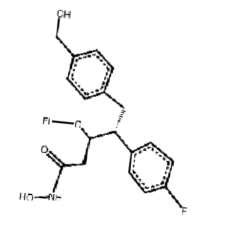 CCO[C@H](CC(=O)NO)[C@H](Cc1ccc(CO)cc1)c1ccc(F)cc1